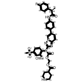 COc1cc(S(C)(=O)=O)ccc1N(C(=O)OCOC(=O)C1CCNCC1)c1nc2ccc(-c3ccc(NC(=O)[C@H](C)c4ccc(F)cc4)cc3)cn2n1